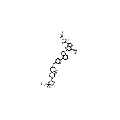 CNc1cc(N2CCc3c(-c4ccc(CN5CCC6(CCN(C(=O)OC(C)(C)C)CC6)C(F)(F)C5)cn4)cccc32)nn2c(C(=O)N[C@@H]3C[C@@H]3F)cnc12